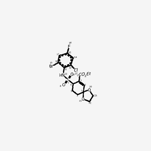 CCOC(=O)C1=CC2(CCC1S(=O)(=O)Nc1c(Cl)cc(F)cc1Br)OCCO2